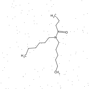 [CH2]CCC(=O)N(CCCCCC)CCCCCC